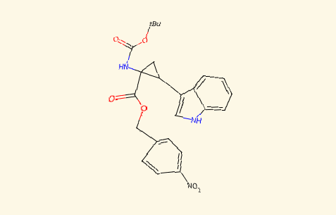 CC(C)(C)OC(=O)NC1(C(=O)OCc2ccc([N+](=O)[O-])cc2)CC1c1c[nH]c2ccccc12